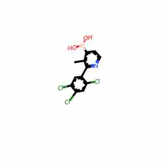 Cc1c(B(O)O)ccnc1-c1cc(Cl)c(Cl)cc1Cl